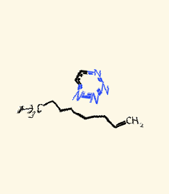 C=CCCCCCC.c1cnnnn1